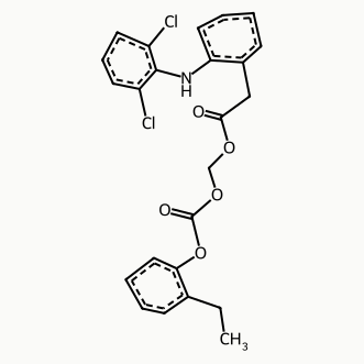 CCc1ccccc1OC(=O)OCOC(=O)Cc1ccccc1Nc1c(Cl)cccc1Cl